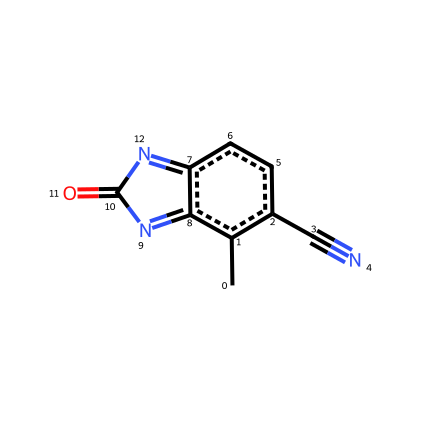 Cc1c(C#N)ccc2c1=NC(=O)N=2